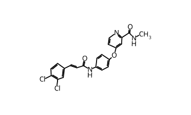 CNC(=O)c1cc(Oc2ccc(NC(=O)C=Cc3ccc(Cl)c(Cl)c3)cc2)ccn1